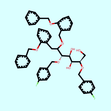 OC[C@@H](OCc1ccc(F)cc1)[C@@H](O)[C@H](O)[C@H](OCc1ccc(F)cc1)C(Cc1ccccc1OCc1ccccc1)OCc1ccccc1OCc1ccccc1